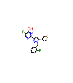 Oc1nc(-c2cc(C3=CSCC3)n(Cc3ccccc3F)n2)ncc1F